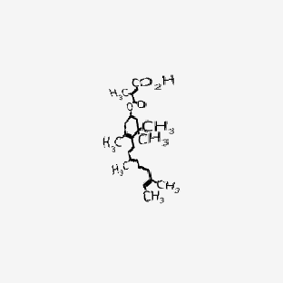 CC=C(C)C=CC=C(C)C=CC1=C(C)CC(OC(=O)/C(C)=C/C(=O)O)CC1(C)C